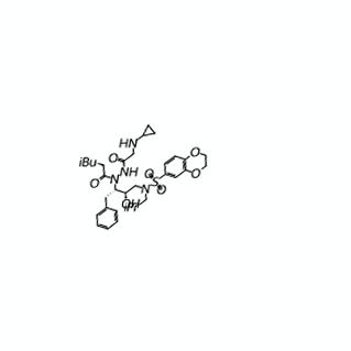 CC[C@H](C)CC(=O)N(NC(=O)CNC1CC1)[C@@H](Cc1ccccc1)[C@H](O)CN(CC(C)C)S(=O)(=O)c1ccc2c(c1)OCCO2